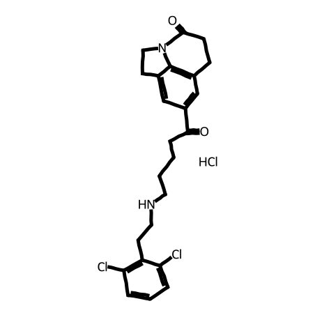 Cl.O=C(CCCCNCCc1c(Cl)cccc1Cl)c1cc2c3c(c1)CCN3C(=O)CC2